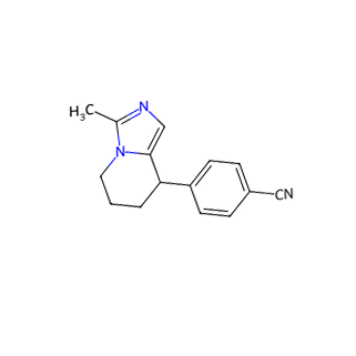 Cc1ncc2n1CCCC2c1ccc(C#N)cc1